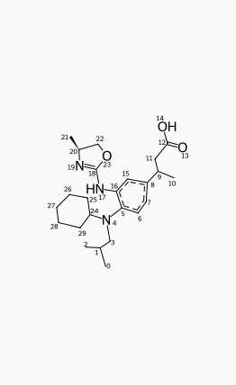 CC(C)CN(c1ccc(C(C)CC(=O)O)cc1NC1=N[C@@H](C)CO1)C1CCCCC1